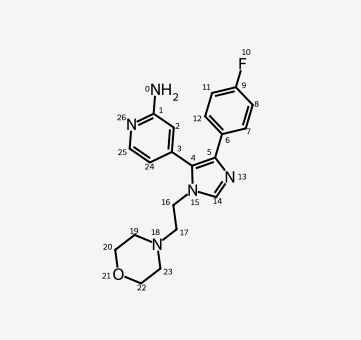 Nc1cc(-c2c(-c3ccc(F)cc3)ncn2CCN2CCOCC2)ccn1